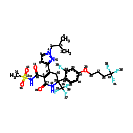 CC(C)Cn1ccc(C2=C(C(=O)NS(C)(=O)=O)C(=O)NC(c3ccc(OCCCC(F)(F)F)cc3F)(C(F)(F)F)C2)n1